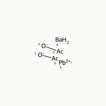 CC(=O)[O-].CC(=O)[O-].[BaH2].[Pb+2]